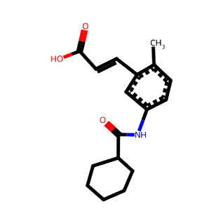 Cc1ccc(NC(=O)C2CCCCC2)cc1/C=C/C(=O)O